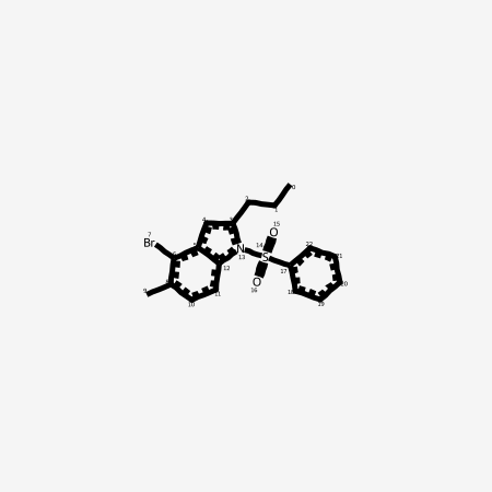 CCCc1cc2c(Br)c(C)ccc2n1S(=O)(=O)c1ccccc1